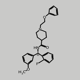 COc1cccc([C@@H](NC(=O)C2CCN(CCOc3ccccc3)CC2)c2ccccc2F)c1